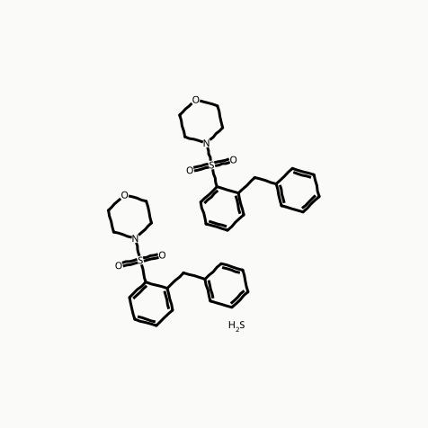 O=S(=O)(c1ccccc1Cc1ccccc1)N1CCOCC1.O=S(=O)(c1ccccc1Cc1ccccc1)N1CCOCC1.S